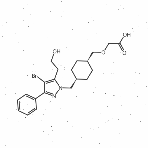 O=C(O)COC[C@H]1CC[C@@H](Cn2nc(-c3ccccc3)c(Br)c2CCO)CC1